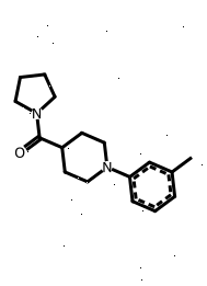 Cc1cccc(N2CCC(C(=O)N3CCCC3)CC2)c1